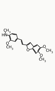 CNc1ccc(C=Cc2cc3cc(OC)c(OC)cc3o2)cc1OC